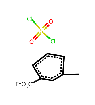 CCOC(=O)c1cccc(C)c1.O=S(=O)(Cl)Cl